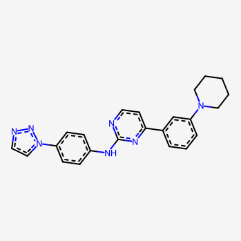 c1cc(-c2ccnc(Nc3ccc(-n4ccnn4)cc3)n2)cc(N2CCCCC2)c1